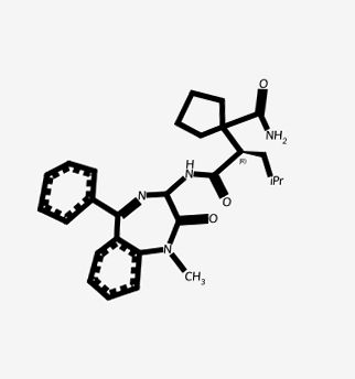 CC(C)C[C@@H](C(=O)NC1N=C(c2ccccc2)c2ccccc2N(C)C1=O)C1(C(N)=O)CCCC1